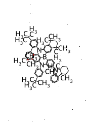 Cc1cc(C(C)(C)C)ccc1N1c2cc(N3c4ccccc4C4(C)CCCCC34C)ccc2B2c3cc4c(cc3N(c3ccc(C(C)(C)C)cc3-c3ccccc3)c3cc(C(C)(C)C)cc1c32)C(C)(C)CCC4(C)C